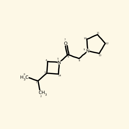 CC(C)C1CN(C(=O)CN2CCCC2)C1